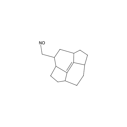 O=NCC1CC2CCC3CCC4CCC1C4=C32